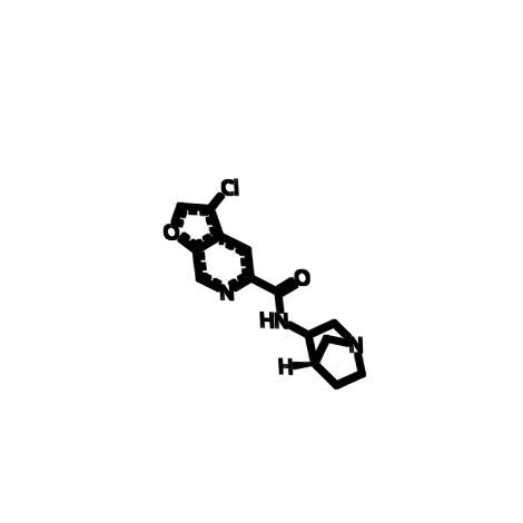 O=C(NC1CN2CC[C@H]1C2)c1cc2c(Cl)coc2cn1